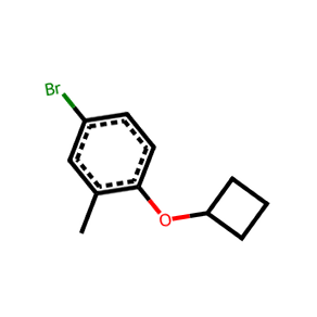 Cc1cc(Br)ccc1OC1CCC1